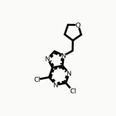 Clc1nc(Cl)c2ncn(CC3CCOC3)c2n1